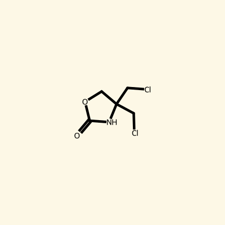 O=C1NC(CCl)(CCl)CO1